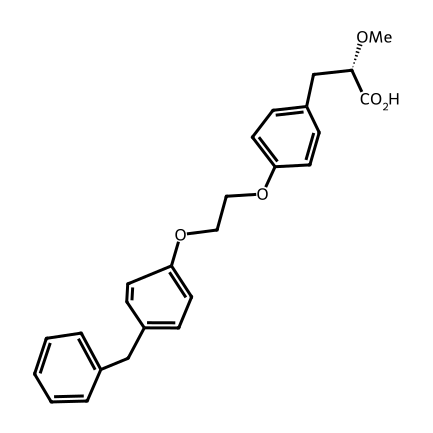 CO[C@@H](Cc1ccc(OCCOc2ccc(Cc3ccccc3)cc2)cc1)C(=O)O